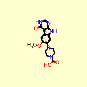 COc1cc2c(cc1N1CCN(C(=O)O)CC1)[nH]c1nc[nH]c(=O)c12